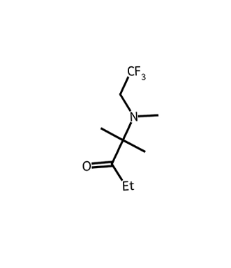 CCC(=O)C(C)(C)N(C)CC(F)(F)F